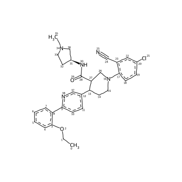 CCOc1ccccc1-c1ccc(C2CCN(c3ccc(Cl)cc3C#N)CC2C(=O)N[C@H]2CCN(C)C2)cn1